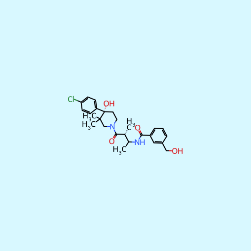 CC(NC(=O)c1cccc(CO)c1)[C@@H](C)C(=O)N1CC[C@](O)(c2ccc(Cl)cc2)C(C)(C)C1